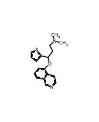 CN(C)CCC(Oc1cccc2cnccc12)c1cccs1